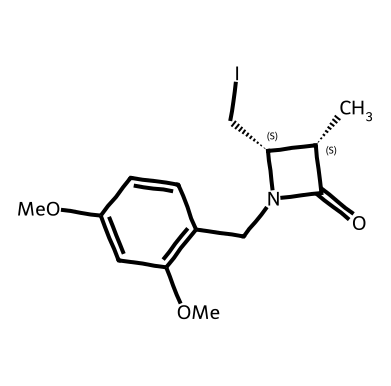 COc1ccc(CN2C(=O)[C@@H](C)[C@H]2CI)c(OC)c1